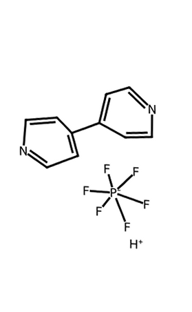 F[P-](F)(F)(F)(F)F.[H+].c1cc(-c2ccncc2)ccn1